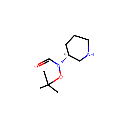 CC(C)(C)ON(C=O)[C@@H]1CCCNC1